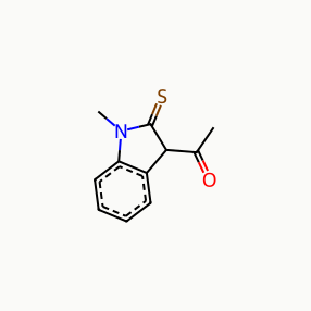 CC(=O)C1C(=S)N(C)c2ccccc21